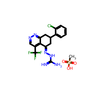 CS(=O)(=O)O.N=C(N)NN=C1CC(c2ccccc2Cl)Cc2nncc(C(F)(F)F)c21